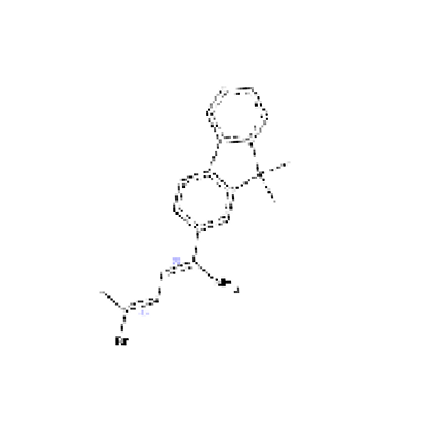 C/C(Br)=C\C=C(/N)c1ccc2c(c1)C(C)(C)c1ccccc1-2